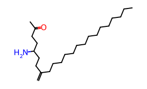 C=C(CCCCCCCCCCCCCCC)CCC(N)CCC(C)=O